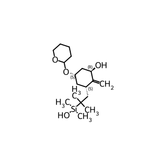 C=C1[C@H](CC(C)(C)[Si](C)(C)O)C[C@H](OC2CCCCO2)C[C@H]1O